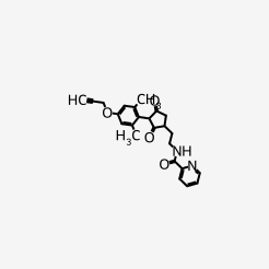 C#CCOc1cc(C)c(C2C(=O)CC(CCNC(=O)c3ccccn3)C2=O)c(C)c1